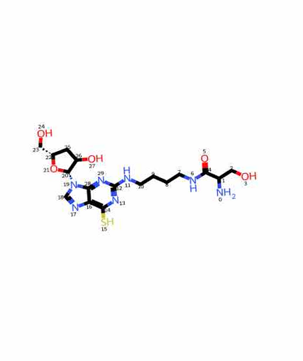 NC(CO)C(=O)NCCCCNc1nc(S)c2ncn([C@@H]3O[C@H](CO)CC3O)c2n1